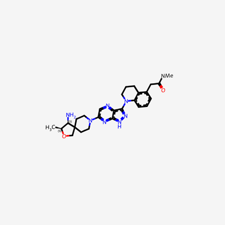 CNC(=O)Cc1cccc2c1CCCN2c1n[nH]c2nc(N3CCC4(CC3)CO[C@@H](C)[C@H]4N)cnc12